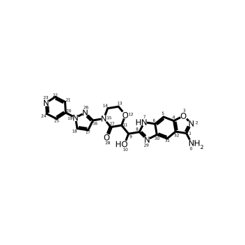 Nc1noc2cc3[nH]c(C(O)C4OCCN(c5ccn(-c6ccncc6)n5)C4=O)nc3cc12